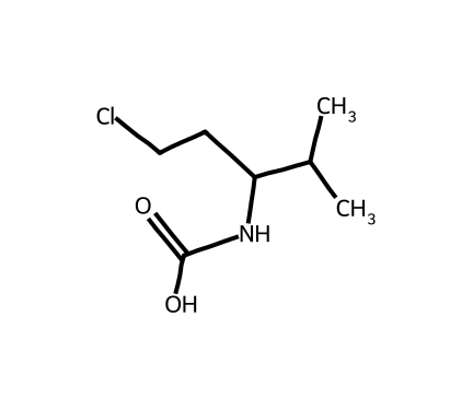 CC(C)C(CCCl)NC(=O)O